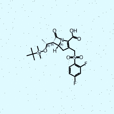 C[C@@H](O[Si](C)(C)C(C)(C)C)[C@@H]1C(=O)N2C(C(=O)O)=C(CS(=O)(=O)c3ccc(F)cc3F)C[C@H]12